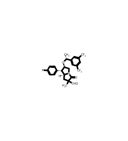 C[C@@H](O[C@H]1CN2C(=O)C(C)(C=O)C[C@H]2[C@@H]1c1ccc(F)cc1)c1cc(C(F)(F)F)cc(C(F)(F)F)c1